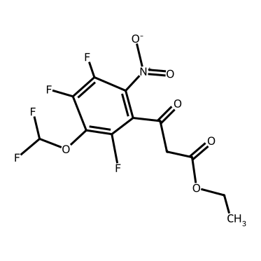 CCOC(=O)CC(=O)c1c(F)c(OC(F)F)c(F)c(F)c1[N+](=O)[O-]